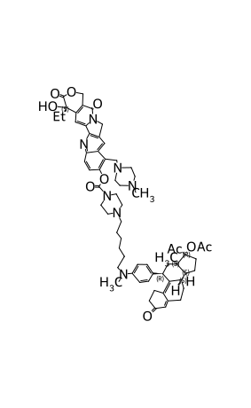 CC[C@@]1(O)C(=O)OCc2c1cc1n(c2=O)Cc2cc3c(CN4CCN(C)CC4)c(OC(=O)N4CCN(CCCCCCN(C)c5ccc([C@H]6C[C@@]7(C)[C@@H](CC[C@]7(OC(C)=O)C(C)=O)[C@@H]7CCC8=CC(=O)CCC8=C76)cc5)CC4)ccc3nc2-1